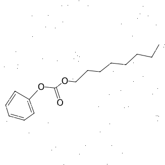 CCCCCCCCOC(=O)Oc1ccccc1